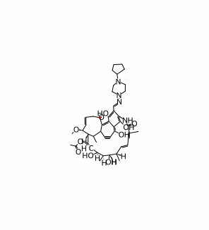 CO[C@H]1/C=C/CC(=O)C2=c3c(O)c(/C=N/N4CCN(C5CCCC5)CC4)c4c(O)c3=C(O)C#CC2C(C)[C@@H]1[C@@H](OC(C)=O)C[C@H](O)[C@H](C)[C@@H](O)[C@@H](C)/C=C/C=C(/C)C(=O)N4